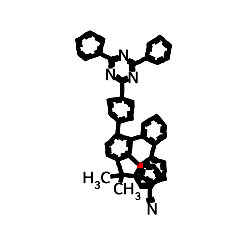 CC1(C)c2ccccc2-c2c1ccc(-c1ccc(-c3nc(-c4ccccc4)nc(-c4ccccc4)n3)cc1)c2-c1ccccc1-c1ccc(C#N)cc1